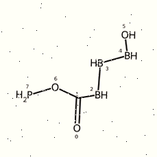 O=C(BBBO)OP